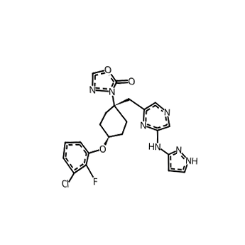 O=c1ocnn1[C@]1(Cc2cncc(Nc3cc[nH]n3)n2)CC[C@@H](Oc2cccc(Cl)c2F)CC1